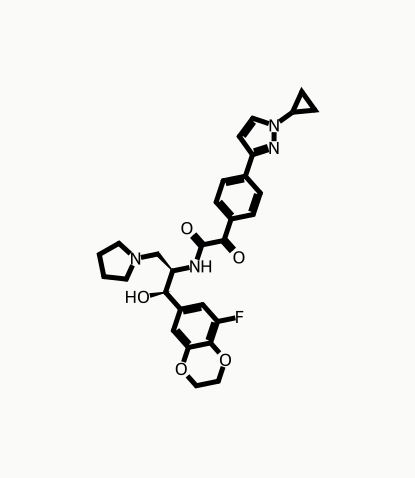 O=C(N[C@H](CN1CCCC1)[C@H](O)c1cc(F)c2c(c1)OCCO2)C(=O)c1ccc(-c2ccn(C3CC3)n2)cc1